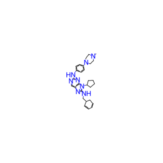 CN1CCN(c2ccc(Nc3ncc4nc(NCC5C=CC=CC5)n(C5CCCC5)c4n3)cc2)CC1